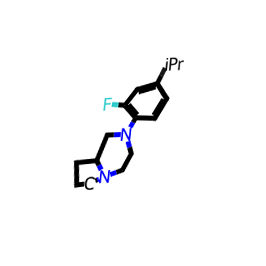 CC(C)c1ccc(N2CCN3CCCC3C2)c(F)c1